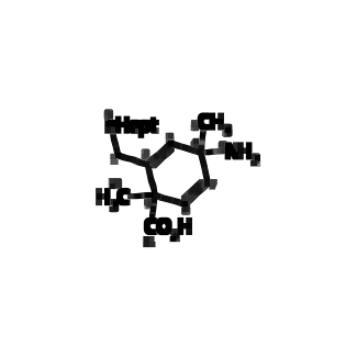 CCCCCCCCC1=CC(C)(N)C=CC1(C)C(=O)O